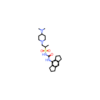 CC(CN1CCC(N(C)C)CC1)S(=O)(=O)NC(=O)Nc1c2c(cc3c1CCC3)CCC2